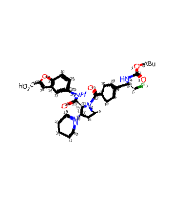 CC(C)(C)OC(=O)N[C@H](CF)C1CCC(C(=O)N2CC[C@H](N3CCCCC3)[C@H]2C(=O)Nc2ccc3oc(C(=O)O)cc3c2)CC1